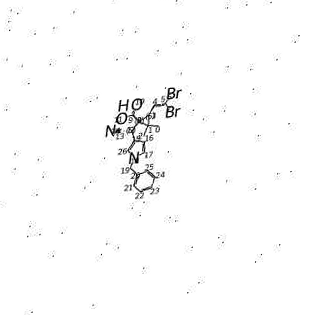 CC1(C)[C@H](C=C(Br)Br)[C@@]1(C(=O)O)[C@@H](C#N)c1ccn(Cc2ccccc2)c1